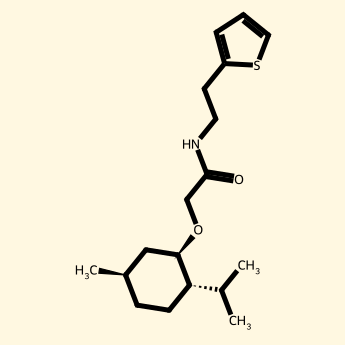 CC(C)[C@@H]1CC[C@@H](C)C[C@H]1OCC(=O)NCCc1cccs1